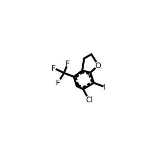 FC(F)(F)c1cc(Cl)c(I)c2c1CCO2